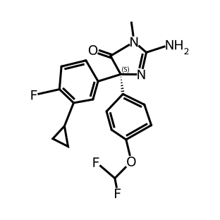 CN1C(=O)[C@](c2ccc(OC(F)F)cc2)(c2ccc(F)c(C3CC3)c2)N=C1N